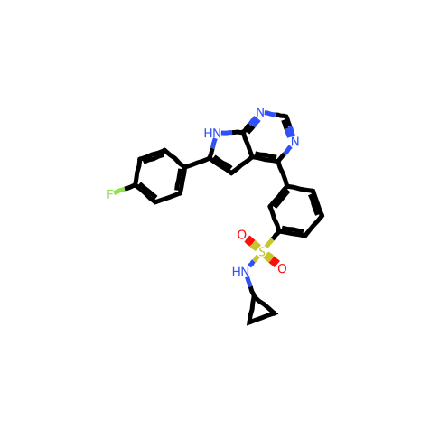 O=S(=O)(NC1CC1)c1cccc(-c2ncnc3[nH]c(-c4ccc(F)cc4)cc23)c1